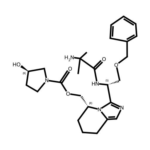 CC(C)(N)C(=O)N[C@H](COCc1ccccc1)c1ncc2n1[C@@H](COC(=O)N1CC[C@@H](O)C1)CCC2